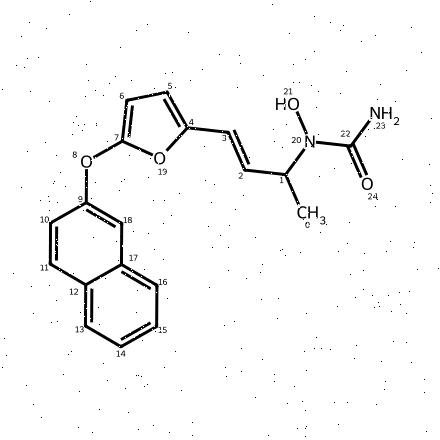 CC(C=Cc1ccc(Oc2ccc3ccccc3c2)o1)N(O)C(N)=O